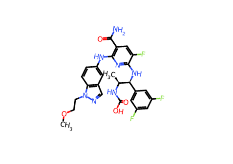 COCCn1ncc2cc(Nc3nc(N[C@@H](c4cc(F)cc(F)c4)[C@H](C)NC(=O)O)c(F)cc3C(N)=O)ccc21